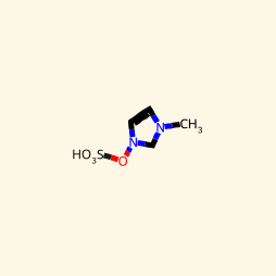 CN1C=CN(OS(=O)(=O)O)C1